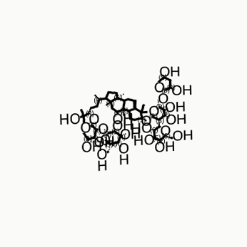 C[C@H](CC[C@@H](O[C@@H]1OC[C@@H](O)[C@H](O)[C@H]1O[C@H]1O[C@@H](CO)[C@H](O)[C@@H](O)[C@@H]1O)C(C)(C)O)C1CC[C@@]2(C)C3CC=C4C(CC[C@H](O[C@@H]5O[C@H](CO[C@@H]6OC[C@@H](O)C[C@H]6O)[C@@H](O)[C@H](O)[C@H]5C5O[C@@H](CO)[C@H](O)[C@@H](O)[C@@H]5O)C4(C)C)[C@]3(C)[C@H](O)C[C@]12C